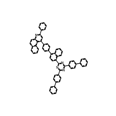 c1ccc(-c2ccc(-c3nc(-c4ccc(-c5ccccc5)cc4)nc(-c4ccc(-c5ccc(-c6cc(-c7ccccc7)nc7ccc8ccccc8c67)cc5)c5ccccc45)n3)cc2)cc1